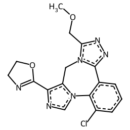 COCc1nnc2n1Cc1c(C3=NCCO3)ncn1-c1c(Cl)cccc1-2